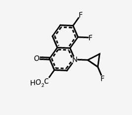 O=C(O)c1cn(C2CC2F)c2c(F)c(F)ccc2c1=O